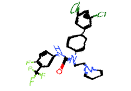 O=C(Nc1ccc(F)c(C(F)(F)F)c1)N(CCN1CCCC1)[C@H]1CC[C@H](c2cc(Cl)cc(Cl)c2)CC1